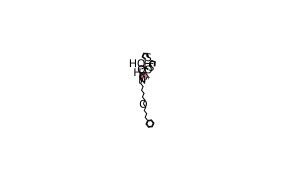 O=C(O[C@H]1C[N+]2(CCCCCCOCCCCc3ccccc3)CCC1CC2)C(O)(c1cccs1)c1cccs1